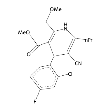 CCCC1=C(C#N)C(c2ccc(F)cc2Cl)C(C(=O)OC)=C(COC)N1